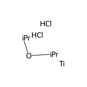 CC(C)OC(C)C.Cl.Cl.[Ti]